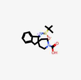 CC(C)(C)[S@@+]([O-])/N=C1/c2ccccc2CC12CCN(C(=O)O)CC2